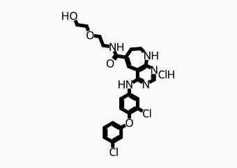 Cl.O=C(NCCOCCO)C1=Cc2c(ncnc2Nc2ccc(Oc3cccc(Cl)c3)c(Cl)c2)NCC1